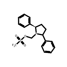 O=S(=O)(OCP1C(c2ccccc2)CC[C@@H]1c1ccccc1)C(F)(F)F